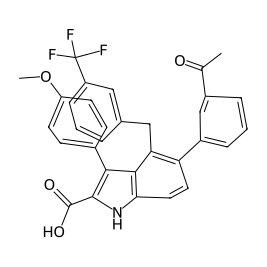 COc1ccc(-c2c(C(=O)O)[nH]c3ccc(-c4cccc(C(C)=O)c4)c(Cc4cccc(C(F)(F)F)c4)c23)cc1